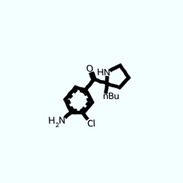 CCCCC1(C(=O)c2ccc(N)c(Cl)c2)CCCN1